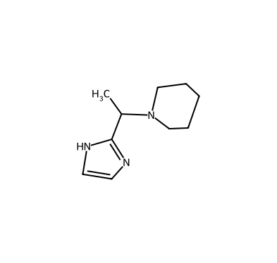 CC(c1ncc[nH]1)N1CCCCC1